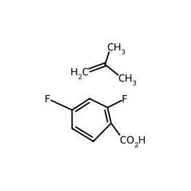 C=C(C)C.O=C(O)c1ccc(F)cc1F